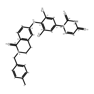 Cc1ccc(CN2CCc3cc(Oc4c(Cl)cc(-n5ncc(=O)[nH]c5=O)cc4Cl)ccc3C2=O)cc1